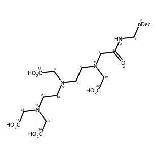 CCCCCCCCCCCNC(=O)CN(CCN(CCN(CC(=O)O)CC(=O)O)CC(=O)O)CC(=O)O